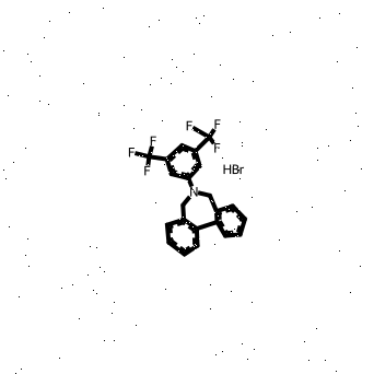 Br.FC(F)(F)c1cc(N2Cc3ccccc3-c3ccccc3C2)cc(C(F)(F)F)c1